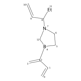 C=CC(=C)B1CCN(C(C=C)CC)C1